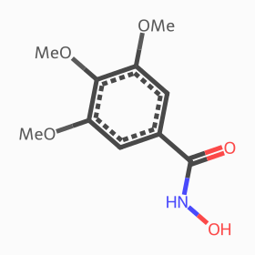 COc1cc(C(=O)NO)cc(OC)c1OC